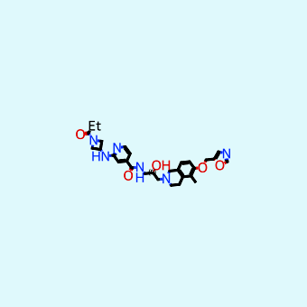 CCC(=O)N1CC(Nc2cc(C(=O)NC[C@H](O)CN3CCc4c(ccc(OCc5cnco5)c4C)C3)ccn2)C1